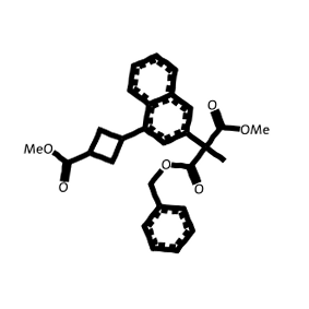 COC(=O)C1CC(c2cc(C(C)(C(=O)OC)C(=O)OCc3ccccc3)cc3ccccc23)C1